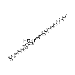 CCCCCCCCCCCCCCCCCCCCCCOCC(O)COCCCCCCCCCCCC